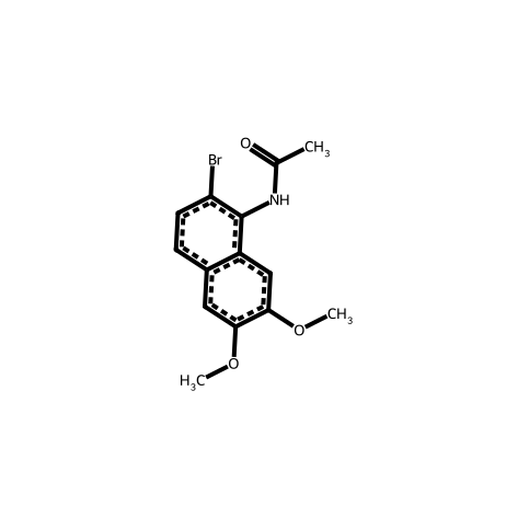 COc1cc2ccc(Br)c(NC(C)=O)c2cc1OC